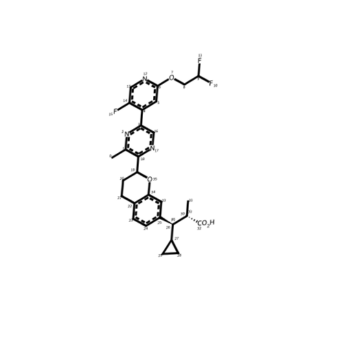 Cc1nc(-c2cc(OCC(F)F)ncc2F)cnc1C1CCc2ccc([C@H](C3CC3)[C@H](C)C(=O)O)cc2O1